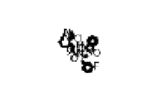 O=C(N[C@@H](Cc1cccc(F)c1)CN1C(=O)c2ccccc2C1=O)c1cc2c(s1)CCCn1ncc(Cl)c1-2